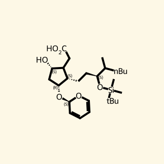 CCCCC(C)[C@H](CC[C@H]1C(CC(=O)O)[C@@H](O)C[C@H]1O[C@@H]1C=CC=CO1)O[Si](C)(C)C(C)(C)C